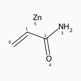 C=CC(N)=O.[Zn]